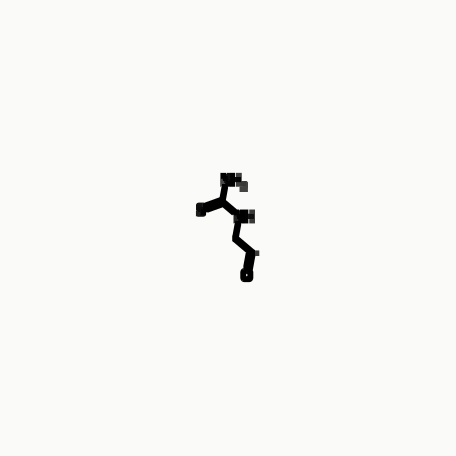 NC(=S)NC[C]=O